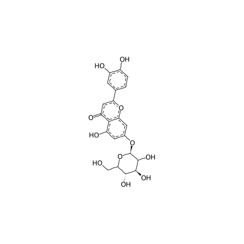 O=c1cc(-c2ccc(O)c(O)c2)oc2cc(O[C@@H]3OC(CO)[C@@H](O)[C@H](O)C3O)cc(O)c12